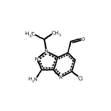 CC(C)n1nc(N)c2nc(Cl)cc(C=O)c21